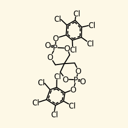 O=P1(Oc2c(Cl)c(Cl)c(Cl)c(Cl)c2Cl)OCC2(CO1)COP(=O)(Oc1c(Cl)c(Cl)c(Cl)c(Cl)c1Cl)OC2